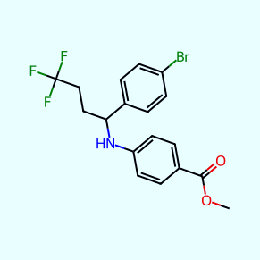 COC(=O)c1ccc(NC(CCC(F)(F)F)c2ccc(Br)cc2)cc1